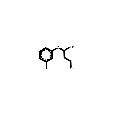 Cc1cccc(OC(CCC(C)(C)C)C(C)C)c1